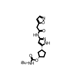 CC[C@@H](C)NC(=O)O[C@H]1CC[C@@H](c2cc(NC(=O)Cc3ccno3)n[nH]2)C1